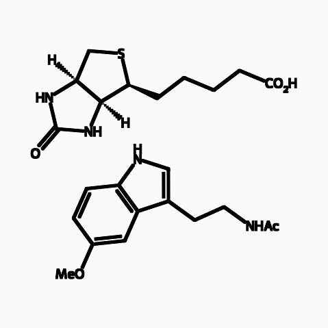 COc1ccc2[nH]cc(CCNC(C)=O)c2c1.O=C(O)CCCC[C@@H]1SC[C@@H]2NC(=O)N[C@@H]21